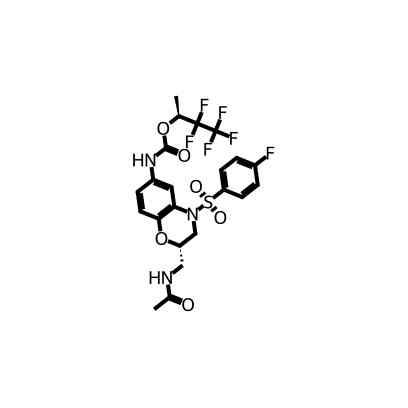 CC(=O)NC[C@H]1CN(S(=O)(=O)c2ccc(F)cc2)c2cc(NC(=O)O[C@@H](C)C(F)(F)C(F)(F)F)ccc2O1